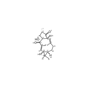 C/C1=C\[C@H]2C(=O)[C@@H](C)C[C@]2(O)C(=O)/C(C)=C/[C@@H]2[C@H](CC1)C2(C)C